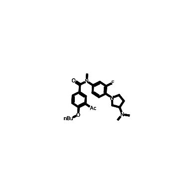 CCCCOc1ccc(C(=O)N(C)c2ccc(N3CCC(N(C)C)C3)c(F)c2)cc1C(C)=O